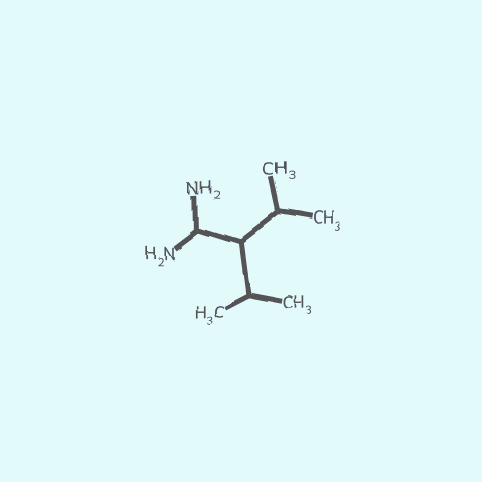 CC(C)C(C(C)C)C(N)N